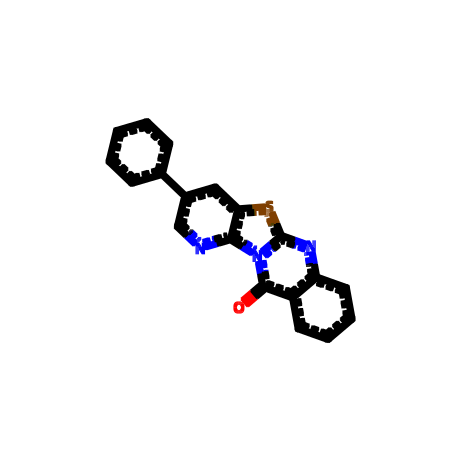 O=c1c2ccccc2nc2sc3cc(-c4ccccc4)cnc3n12